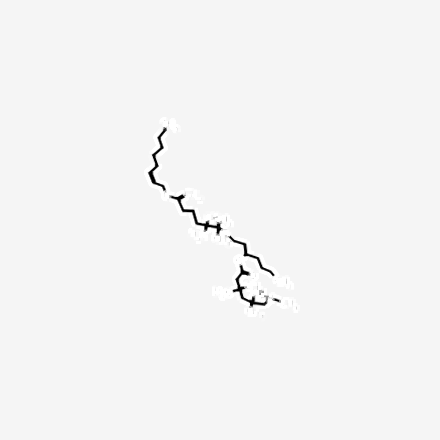 C=C(CCCC(C)(C)C(C)(C)CCCC(CCCC)OC(=O)CC(C)(C)CC(C)(C)CNC)OC/C=C\CCCCCC